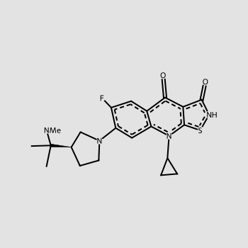 CNC(C)(C)[C@@H]1CCN(c2cc3c(cc2F)c(=O)c2c(=O)[nH]sc2n3C2CC2)C1